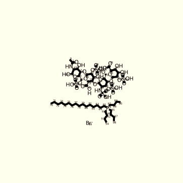 CC(=O)N[C@@H]1[C@@H](O)[C@H](O[C@@H]2O[C@H](C(=O)O)[C@@H](O[C@@H]3O[C@H](CO)[C@@H](O[C@H]4O[C@@H](C(=O)O)[C@H](O)[C@@H](O)[C@@H]4OS(=O)(=O)O)[C@H](OS(=O)(=O)O)[C@H]3NS(=O)(=O)O)[C@H](O)[C@H]2OS(=O)(=O)O)[C@H](COS(=O)(=O)O)O[C@H]1O.CCCCCCCCCCCCCCCC[P+](CCCC)(CCCC)CCCC.[Br-]